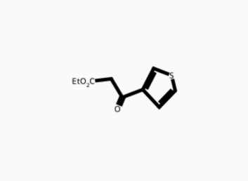 CCOC(=O)CC(=O)c1ccsc1